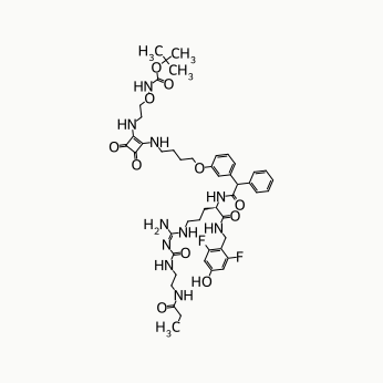 CCC(=O)NCCNC(=O)/N=C(/N)NCCC[C@@H](NC(=O)C(c1ccccc1)c1cccc(OCCCCNc2c(NCCONC(=O)OC(C)(C)C)c(=O)c2=O)c1)C(=O)NCc1c(F)cc(O)cc1F